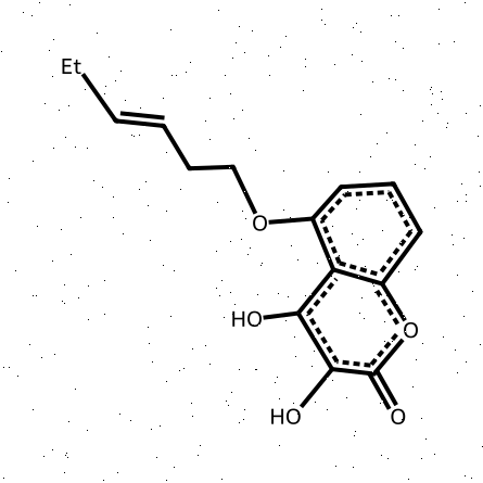 CCC=CCCOc1cccc2oc(=O)c(O)c(O)c12